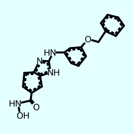 O=C(NO)c1ccc2nc(Nc3cccc(OCc4ccccc4)c3)[nH]c2c1